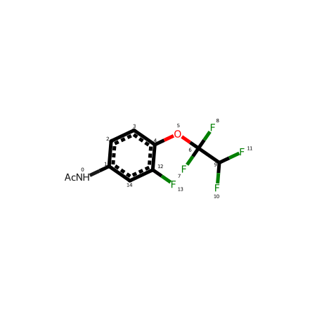 CC(=O)Nc1ccc(OC(F)(F)C(F)F)c(F)c1